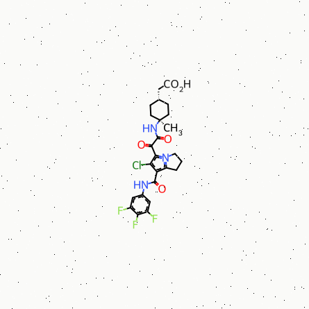 C[C@]1(NC(=O)C(=O)c2c(Cl)c(C(=O)Nc3cc(F)c(F)c(F)c3)c3n2CCC3)CC[C@H](CC(=O)O)CC1